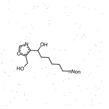 CCCCCCCCCCCCCCC(O)c1ncoc1CO